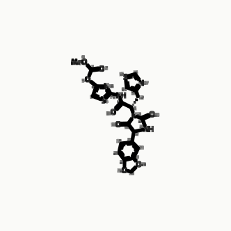 COC(=O)Oc1csc(NC(=O)[C@H](Cc2cscn2)N2C(=O)NC(c3ccc4c(c3)OCO4)C2=O)n1